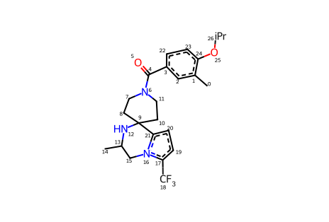 Cc1cc(C(=O)N2CCC3(CC2)NC(C)Cn2c(C(F)(F)F)ccc23)ccc1OC(C)C